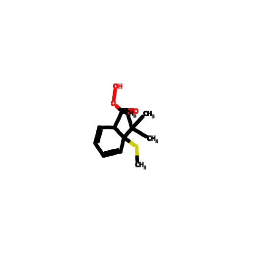 CSC1(C(C)(C)C)C=CC=CC1C(=O)OO